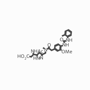 COc1cc(CC(=O)N(C)CC2=NNC(C(CC(=O)O)NC(C)=O)C2)ccc1NC(=O)Nc1ccccc1C